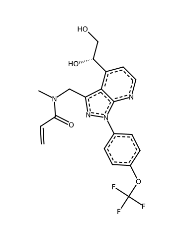 C=CC(=O)N(C)Cc1nn(-c2ccc(OC(F)(F)F)cc2)c2nccc([C@H](O)CO)c12